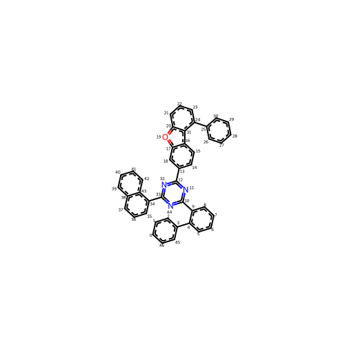 c1ccc(-c2ccccc2-c2nc(-c3ccc4c(c3)oc3cccc(-c5ccccc5)c34)nc(-c3cccc4ccccc34)n2)cc1